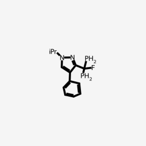 CC(C)n1cc(-c2ccccc2)c(C(F)(P)P)n1